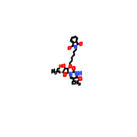 CC[C@H]1O[C@@H](n2cc(C)c(=O)[nH]c2=O)[C@@H](OCCCCCCN2C(=O)c3ccccc3C2=O)C1O